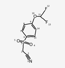 N#CCS(=O)(=O)c1ccc(OC(F)F)cc1